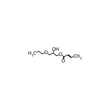 CC=CC(=O)OCC(O)COCCC